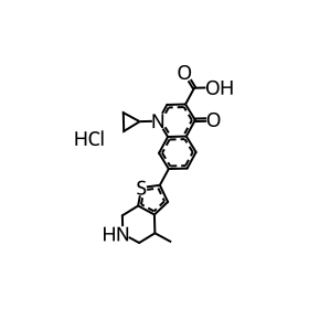 CC1CNCc2sc(-c3ccc4c(=O)c(C(=O)O)cn(C5CC5)c4c3)cc21.Cl